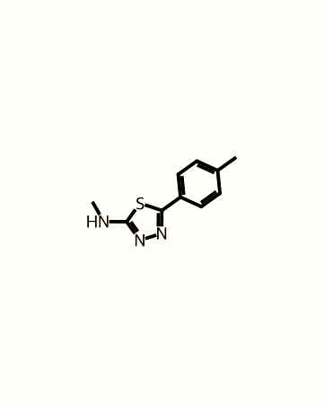 CNc1nnc(-c2ccc(C)cc2)s1